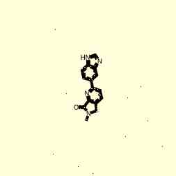 CN1Cc2ccc(-c3ccc4[nH]cnc4c3)nc2C1=O